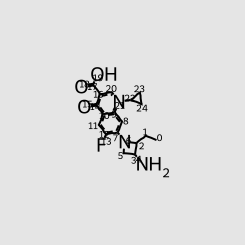 CCC1C(N)CN1c1cc2c(cc1F)c(=O)c(C(=O)O)cn2C1CC1